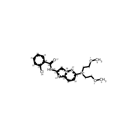 COCCN(CCOC)c1ccc2nc(NC(=O)c3ccccc3Cl)cn2n1